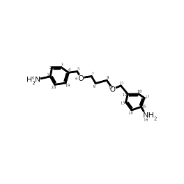 Nc1ccc(COCCCOCc2ccc(N)cc2)cc1